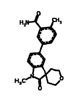 Cc1ccc(-c2ccc3c(c2)C2(CCOCC2)C(=O)N3C)cc1C(N)=O